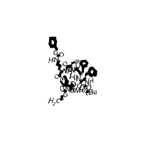 C=CCOC(=O)NC1(C(=O)OC)CCN(C(=O)[C@@H](CCCCNC(=O)OCc2ccccc2)NC(=O)[C@@H](CC(C)C)NC(=O)[C@@H](Cc2ccccc2)NC(=O)[C@@H](Cc2ccccc2)NC(=O)OC(C)(C)C)CC1